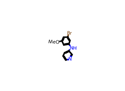 COc1cc(Br)cc(Nc2cccnc2)c1